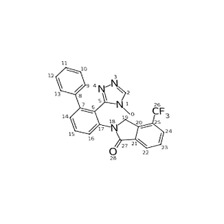 Cn1cnnc1-c1c(-c2ccccc2)cccc1N1Cc2c(cccc2C(F)(F)F)C1=O